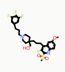 COc1ccc2nc(S(C)(=O)=O)c(F)c(CCCC3(CO)CCN(CCCc4cc(F)c(F)c(F)c4)CC3)c2c1